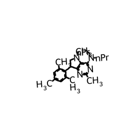 CCCN(CCC)c1nc(C)nc2c1N(C)CC2c1c(C)cc(C)cc1C